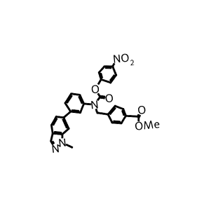 COC(=O)c1ccc(CN(C(=O)Oc2ccc([N+](=O)[O-])cc2)c2cccc(-c3ccc4cnn(C)c4c3)c2)cc1